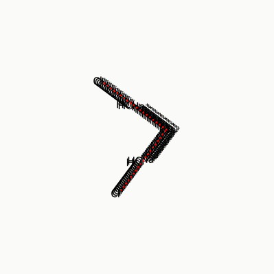 Cl.Cl.Cl.Cl.[Cl-].[Cl-].[Cl-].[Cl-].[Cl-].[Cl-].[Cl-].[Cl-].[Cl-].[Cl-].[Cl-].[Cl-].[Cl-].[Cl-].[Cl-].[Cl-].[Cl-].[Cl-].[Cl-].[Cl-].[Cl-].[Cl-].[Cl-].[Cl-].[Cl-].[Cl-].[Cl-].[Cl-].[Cl-].[Cl-].[Cl-].[Cl-].[Cl-].[Cl-].[Cl-].[Cl-].[Cl-].[Cl-].[Na+].[Na+].[Na+].[Na+].[Na+].[Na+].[Na+].[Na+].[Na+].[Na+].[Na+].[Na+].[Na+].[Na+].[Na+].[Na+].[Na+].[Na+].[Na+].[Na+].[Na+].[Na+].[Na+].[Na+].[Na+].[Na+].[Na+].[Na+].[Na+].[Na+].[Na+].[Na+].[Na+].[Na+].[Na+].[Na+].[Na+].[Na+]